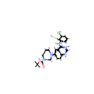 CC(C)(C)OC(=O)N1CCCN(c2ccc3ncnc(Nc4cccc(Cl)c4F)c3c2)C1